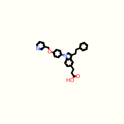 O=C(O)CCc1ccc2c(c1)c(CCc1ccccc1)cn2-c1ccc(OCc2cccnc2)cc1